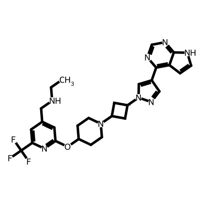 CCNCc1cc(OC2CCN(C3C[C](n4cc(-c5ncnc6[nH]ccc56)cn4)C3)CC2)nc(C(F)(F)F)c1